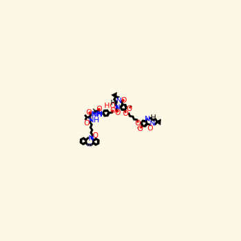 COc1cc2c(cc1OCCCCCOc1cc3c(cc1OC)C(=O)N1CC4(CC4)C[C@H]1C(O)N3C(=O)OCc1ccc(NC(=O)[C@H](C)NC(=O)[C@@H](NC(=O)CCCCC(=O)N3Cc4ccccc4/C=C\c4ccccc43)C(C)C)cc1)N=C[C@@H]1CC3(CC3)CN1C2=O